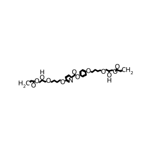 C=CC(=O)OCC(O)COCCCCOc1ccc(OC(=O)c2ccc(OCCCCOCC(O)COC(=O)C=C)cn2)cc1